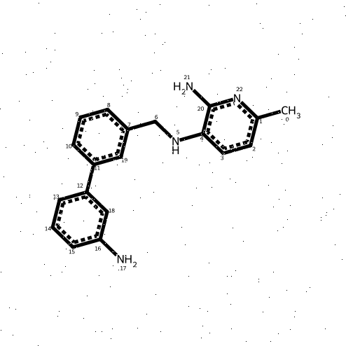 Cc1ccc(NCc2cccc(-c3cccc(N)c3)c2)c(N)n1